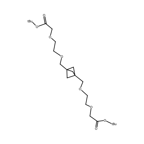 CC(C)(C)OC(=O)COCCOCC12CC(COCCOCC(=O)OC(C)(C)C)(C1)C2